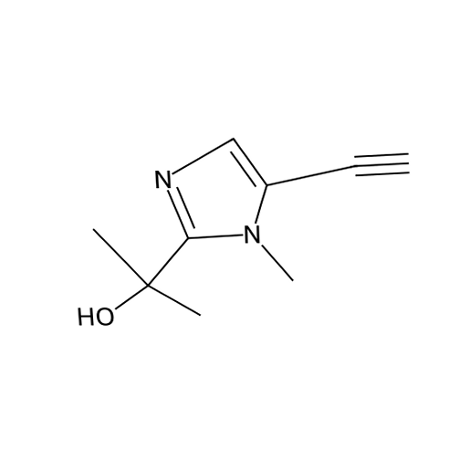 C#Cc1cnc(C(C)(C)O)n1C